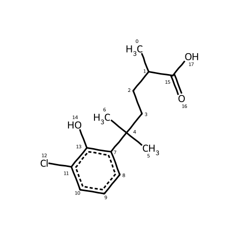 CC(CCC(C)(C)c1cccc(Cl)c1O)C(=O)O